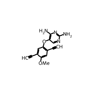 C#Cc1cc(Oc2cnc(N)nc2N)c(C#C)cc1OC